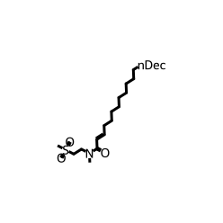 CCCCCCCCCCCCCCCCCCC/C=C/C(=O)N(C)CCS(C)(=O)=O